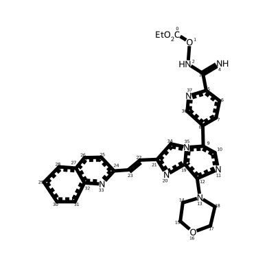 CCOC(=O)ONC(=N)c1ccc(-c2cnc(N3CCOCC3)c3nc(/C=C/c4ccc5ccccc5n4)cn23)cn1